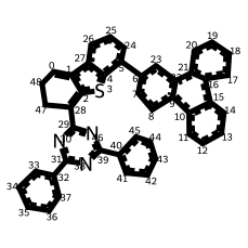 C1=c2c(sc3c(-c4ccc5c6ccccc6c6ccccc6c5c4)cccc23)=C(c2nc(-c3ccccc3)nc(-c3ccccc3)n2)CC1